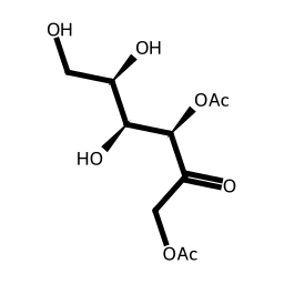 CC(=O)OCC(=O)[C@H](OC(C)=O)[C@@H](O)[C@H](O)CO